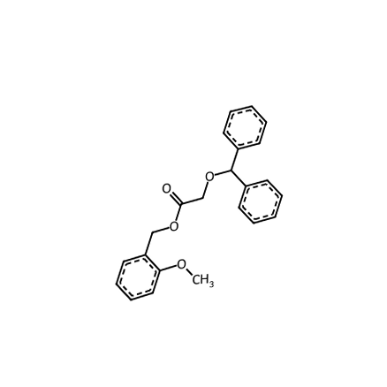 COc1ccccc1COC(=O)COC(c1ccccc1)c1ccccc1